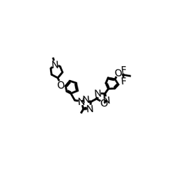 Cc1nc(-c2nc(-c3ccc(OC(C)(F)F)cc3)no2)nn1Cc1cccc(OC2CCN(C)CC2)c1